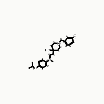 CC(C)Oc1ccc(N(C)CCC2(O)CCN(Cc3cccc(Cl)c3)CC2)cc1